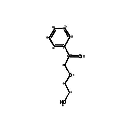 O=C(COCCO)c1ccccc1